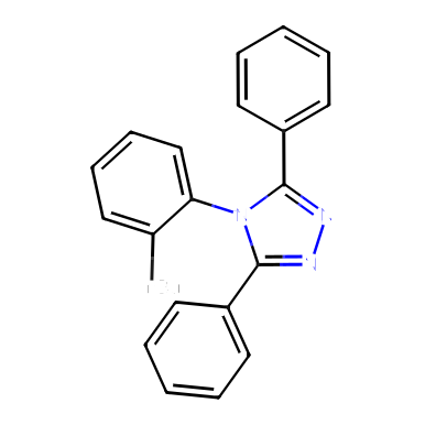 CCCCc1ccccc1-n1c(-c2ccccc2)nnc1-c1ccccc1